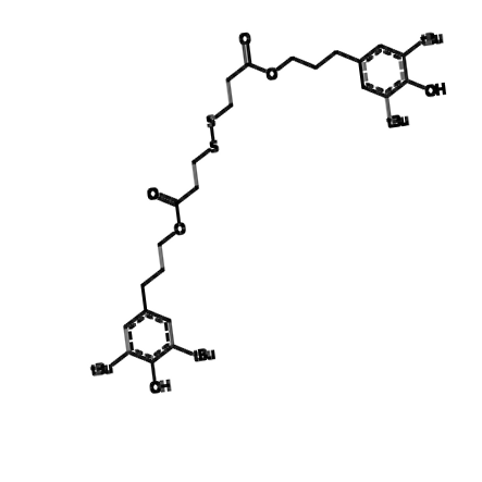 CC(C)(C)c1cc(CCCOC(=O)CCSSCCC(=O)OCCCc2cc(C(C)(C)C)c(O)c(C(C)(C)C)c2)cc(C(C)(C)C)c1O